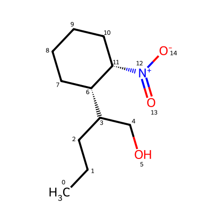 CCCC(CO)[C@@H]1CCCC[C@@H]1[N+](=O)[O-]